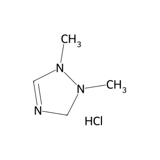 CN1C=NCN1C.Cl